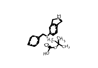 CC(C)(C)OC(=O)O.c1ccc(CSc2ccc3c(c2)CNC3)cc1